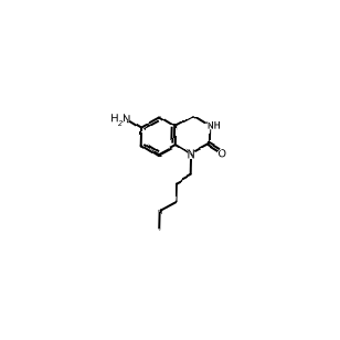 CCCCCN1C(=O)NCc2cc(N)ccc21